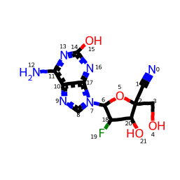 N#CC1(CO)OC(n2cnc3c(N)nc(O)nc32)C(F)C1O